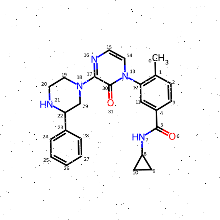 Cc1ccc(C(=O)NC2CC2)cc1-n1ccnc(N2CCNC(c3ccccc3)C2)c1=O